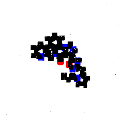 CN1CCCC1Cc1noc(C2N=CN3c4ccccc4N(Cc4ccccn4)C(=O)C23)n1